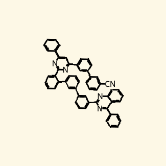 N#Cc1cccc(-c2cccc(-c3cc(-c4ccccc4)nc(-c4ccccc4-c4cccc(-c5cccc(-c6nc(-c7ccccc7)c7ccccc7n6)c5)c4)n3)c2)c1